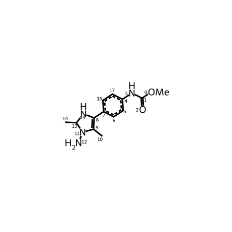 COC(=O)Nc1ccc(C2=C(C)N(N)C(C)N2)cc1